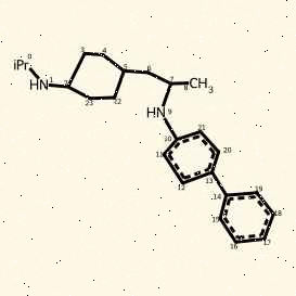 CC(C)NC1CCC(CC(C)Nc2ccc(-c3ccccc3)cc2)CC1